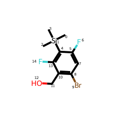 C[Si](C)(C)c1c(F)cc(Br)c(CO)c1F